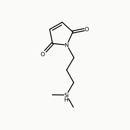 C[SiH](C)CCCN1C(=O)C=CC1=O